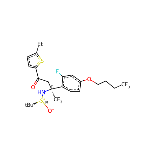 CCc1ccc(C(=O)C[C@](N[S@@+]([O-])C(C)(C)C)(c2ccc(OCCCC(F)(F)F)cc2F)C(F)(F)F)s1